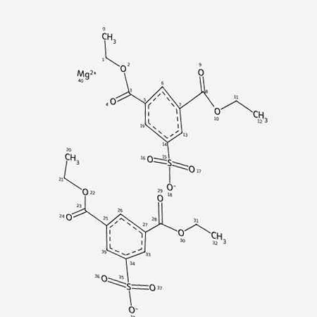 CCOC(=O)c1cc(C(=O)OCC)cc(S(=O)(=O)[O-])c1.CCOC(=O)c1cc(C(=O)OCC)cc(S(=O)(=O)[O-])c1.[Mg+2]